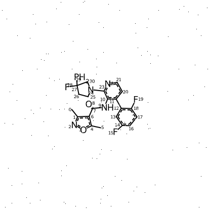 Cc1noc(C)c1C(=O)Nc1c(-c2cc(F)ccc2F)ccnc1N1CCC(F)(P)C1